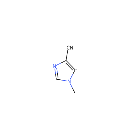 Cn1[c]c(C#N)nc1